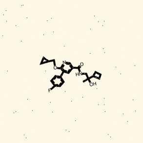 CC(O)(CNC(=O)c1cnc(OCC2CC2)c(-c2ccc(F)cc2)c1)C1CCC1